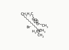 C=CC[N+](C)(C)CCCCCCCCCCCCCCCCC.CCCCOC(=O)/C=C\C(=O)OCCCC.[Br-]